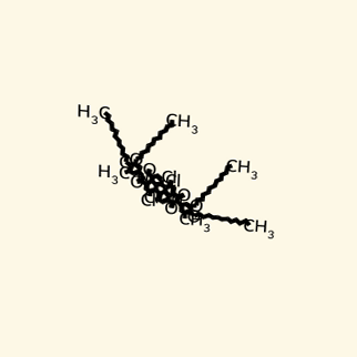 CCCCCCCCCCCCOc1cc(N2C(=O)c3cc(Cl)c4c5c(Cl)cc6c7c(cc(Cl)c(c8c(Cl)cc(c3c48)C2=O)c75)C(=O)N(c2cc(C)c(OCCCCCCCCCCCC)c(OCCCCCCCCCCCC)c2)C6=O)cc(C)c1OCCCCCCCCCCCC